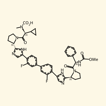 COC(=O)N[C@@H](C(=O)N1CCC[C@H]1c1ncc(-c2ccc(-c3ccc(-c4cnc([C@@H]5CCCN5C(=O)[C@H](C5CC5)N(C)C(=O)O)[nH]4)c(F)c3)cc2F)[nH]1)c1ccccc1